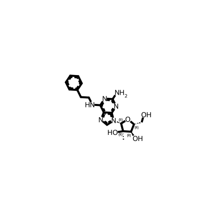 C[C@@]1(O)[C@H](O)[C@@H](CO)O[C@H]1n1cnc2c(NCCc3ccccc3)nc(N)nc21